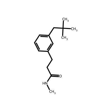 CNC(=O)CCc1cccc(CC(C)(C)C)c1